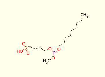 CCCCCCCCCOP(OC)OCCCCS(=O)(=O)O